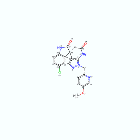 COc1ccc(Cn2ncc3c2NC(=O)C[C@]32C(=O)Nc3ccc(Cl)cc32)nc1